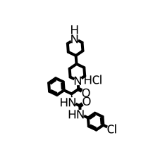 Cl.O=C(Nc1ccc(Cl)cc1)N[C@@H](C(=O)N1CCC(C2CCNCC2)CC1)c1ccccc1